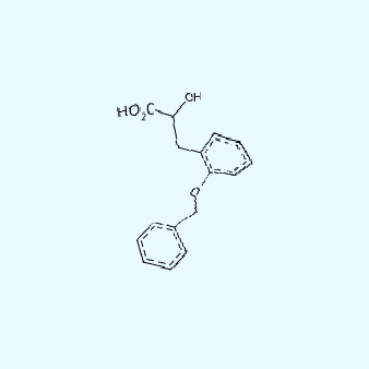 O=C(O)C(O)Cc1ccccc1OCc1ccccc1